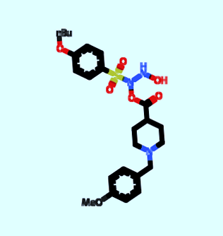 CCCCOc1ccc(S(=O)(=O)N(NO)OC(=O)C2CCN(Cc3ccc(OC)cc3)CC2)cc1